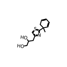 CC1(c2nc(CC(O)CO)cs2)C=CC=CC1